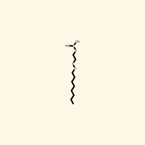 CCCCCCCCOSCCOP(O)O